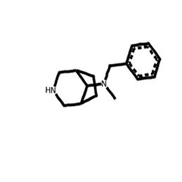 CN(Cc1ccccc1)C1C2CCC1CNC2